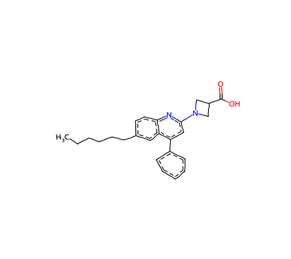 CCCCCCc1ccc2nc(N3CC(C(=O)O)C3)cc(-c3ccccc3)c2c1